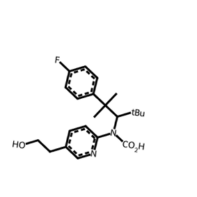 CC(C)(C)C(N(C(=O)O)c1ccc(CCO)cn1)C(C)(C)c1ccc(F)cc1